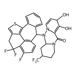 O=C1C2=C(O)C(O)C=CN2N(C2c3ccccc3-c3scc4c3-c3c2ccc(F)c3C(F)(F)C4)C2CC(C(F)(F)F)CCN12